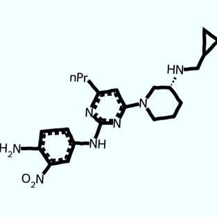 CCCc1cc(N2CCC[C@@H](NCC3CC3)C2)nc(Nc2ccc(N)c([N+](=O)[O-])c2)n1